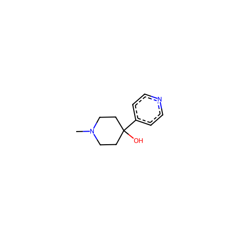 CN1CCC(O)(c2ccncc2)CC1